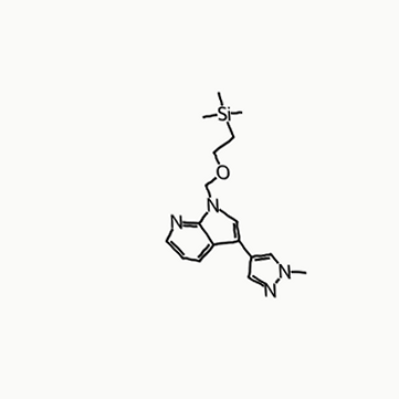 Cn1cc(-c2cn(COCC[Si](C)(C)C)c3ncccc23)cn1